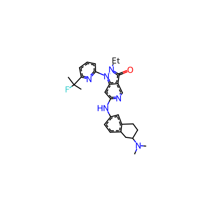 CCn1c(=O)c2cnc(Nc3ccc4c(c3)CCC(N(C)C)C4)cc2n1-c1cccc(C(C)(C)F)n1